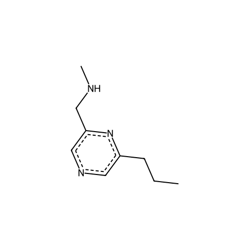 CCCc1cncc(CNC)n1